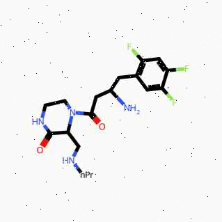 CCCNCC1C(=O)NCCN1C(=O)CC(N)Cc1cc(F)c(F)cc1F